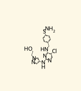 NSc1ccc(CNc2nc(Nc3cnn(CCO)c3)ncc2Cl)cc1